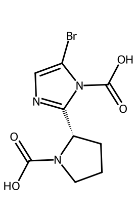 O=C(O)N1CCC[C@H]1c1ncc(Br)n1C(=O)O